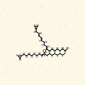 CCCCCCCC/C(=C/CCCCCCCC1CC1)O/C(=C\CCCCCCCC1CC1)CCCCCCCC